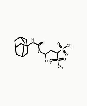 CC(CC(S(=O)(=O)C(F)(F)F)S(=O)(=O)C(F)(F)F)OC(=O)NC12CC3CC(CC(C3)C1)C2